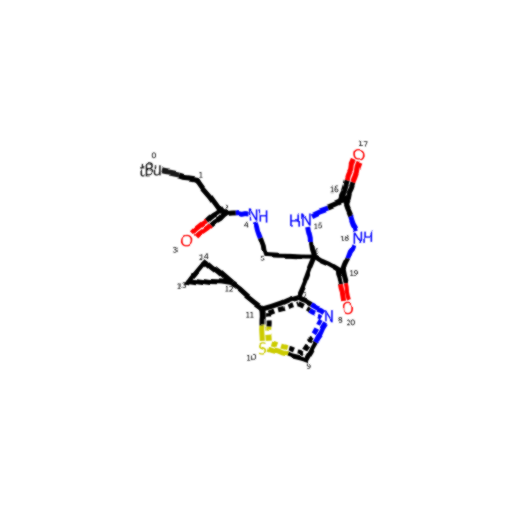 CC(C)(C)CC(=O)NCC1(c2ncsc2C2CC2)NC(=O)NC1=O